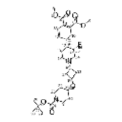 COC(=O)C1=C(C(=O)OC)CC([C@H]2CCN([C@H]3C[C@H](OC4CCN(C(=O)OC(C)(C)C)CC4)C3)C[C@H]2F)C=C1